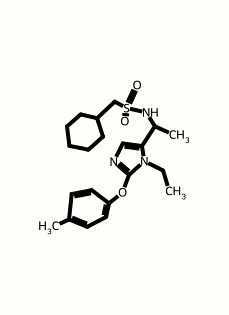 CCn1c(C(C)NS(=O)(=O)CC2CCCCC2)cnc1Oc1ccc(C)cc1